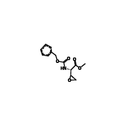 COC(=O)[C@@H](NC(=O)OCc1ccccc1)C1CO1